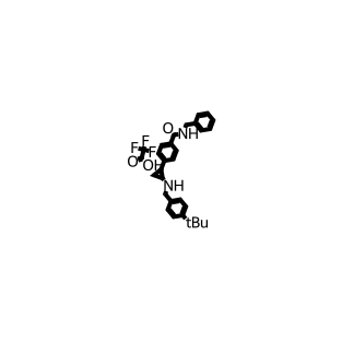 CC(C)(C)c1ccc(CNC2CC2c2ccc(C(=O)NCc3ccccc3)cc2)cc1.O=C(O)C(F)(F)F